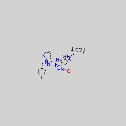 CC1CCC(Cn2nc(-c3nc(N)c4c(n3)NC(=O)C4(C)c3nc(CC(C)(C)C(=O)O)cs3)c3cccnc32)CC1